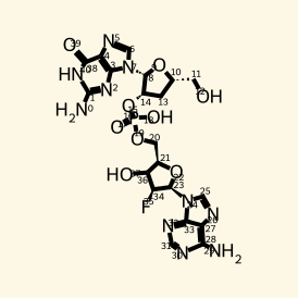 Nc1nc2c(ncn2[C@@H]2O[C@H](CO)C[C@@H]2OP(=O)(O)OC[C@H]2O[C@@H](n3cnc4c(N)ncnc43)[C@@H](F)C2O)c(=O)[nH]1